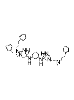 CN(CCCc1ccccc1)CCN(C=N)CC(=O)Nc1cccc(NC(=O)CN2CC(Cc3ccccc3)N(CCCc3ccccc3)C2=N)c1